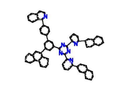 c1cc(-c2ccc3ccccc3c2)nc(-c2nc(-c3cc(-c4ccc(-c5nccc6ccccc56)cc4)cc(-c4cc5ccccc5c5ccccc45)c3)nc(-c3cccc(-c4ccc5ccccc5c4)n3)n2)c1